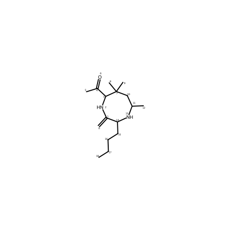 C=C1NC(C(C)=O)C(C)(C)CC(C)NC1CCCC